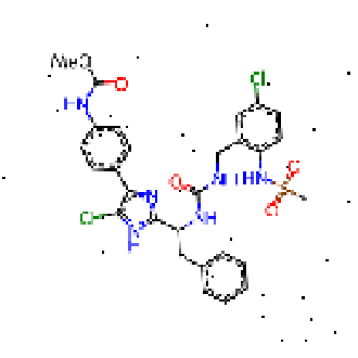 COC(=O)Nc1ccc(-c2nc(C(Cc3ccccc3)NC(=O)NCc3cc(Cl)ccc3NS(C)(=O)=O)[nH]c2Cl)cc1